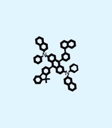 CC1(C)c2ccccc2-c2ccc(-c3c4ccc(N(C5=CCCC=C5)c5ccc6ccccc6c5)cc4c(-c4cccc(-c5cccc6ccccc56)c4)c4ccc(N(c5ccccc5)c5ccc6ccccc6c5)cc34)cc21